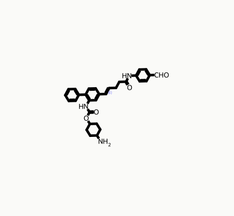 NC1CCC(OC(=O)Nc2cc(/C=C/CCC(=O)Nc3ccc(C=O)cc3)ccc2-c2ccccc2)CC1